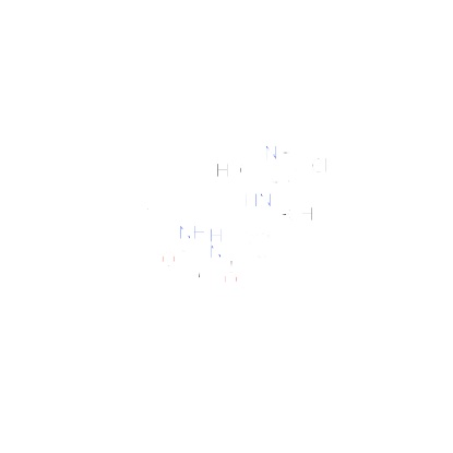 Cc1ncc(Cl)cc1N[C@@H](C)c1ccc(C(=O)N[C@@H](CC2CCCC2)C(=O)NC2CC3(CCC3)C2)s1